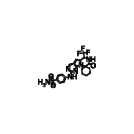 NS(=O)(=O)c1ccc(Nc2ncc3cc4n(c3n2)C2(CCCCC2)C(=O)NC4C(F)(F)F)cc1